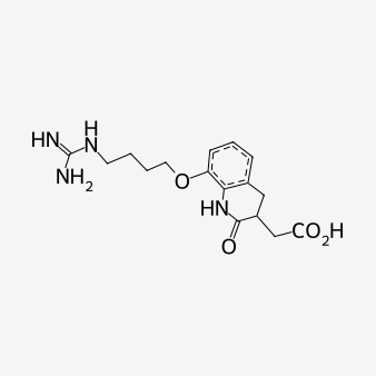 N=C(N)NCCCCOc1cccc2c1NC(=O)C(CC(=O)O)C2